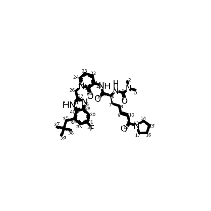 CN(C)C(=O)N[C@@H](CC/C=C/C(=O)N1CCCC1)C(=O)Nc1cccn(Cc2nc3cc(F)cc(CC(C)(C)C)c3[nH]2)c1=O